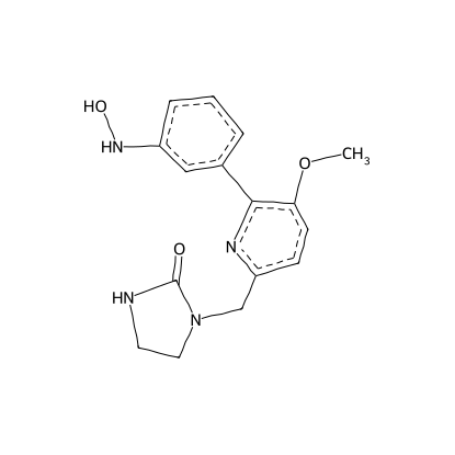 COc1ccc(CN2CCNC2=O)nc1-c1cccc(NO)c1